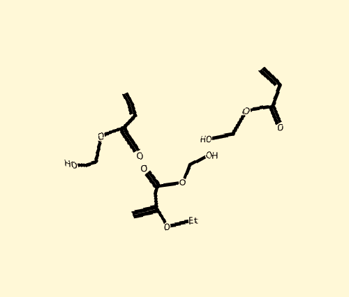 C=C(OCC)C(=O)OCO.C=CC(=O)OCO.C=CC(=O)OCO